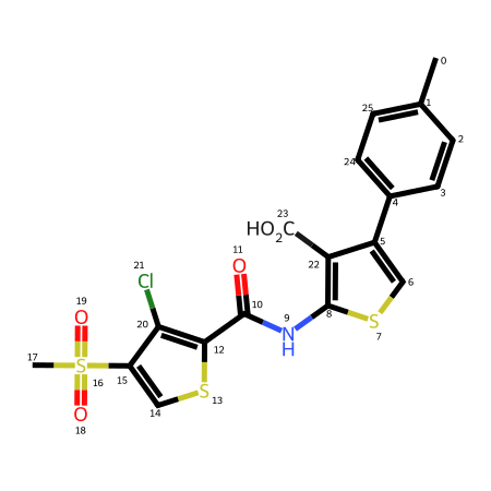 Cc1ccc(-c2csc(NC(=O)c3scc(S(C)(=O)=O)c3Cl)c2C(=O)O)cc1